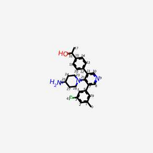 Cc1cc(F)cc(-c2cncc(-c3ccc(C(C)O)cc3)c2N2CCC(N)CC2)c1